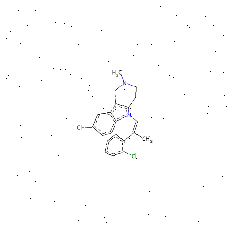 C/C(=C/n1c2c(c3cc(Cl)ccc31)CN(C)CC2)c1ccccc1Cl